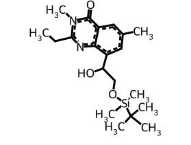 CCc1nc2c(C(O)CO[Si](C)(C)C(C)(C)C)cc(C)cc2c(=O)n1C